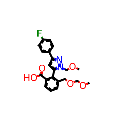 COCOCc1cccc(C(=O)O)c1-c1cc(-c2ccc(F)cc2)nn1COC